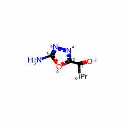 CC(C)C(=O)c1nnc(N)o1